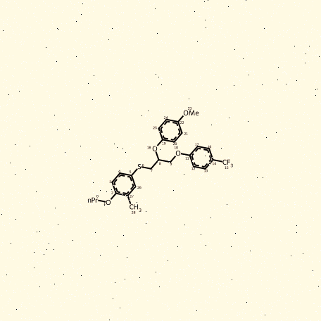 CCCOc1ccc(SCC(COc2ccc(C(F)(F)F)cc2)Oc2ccc(OC)cc2)cc1C